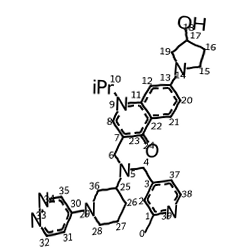 Cc1cc(CN(Cc2cn(C(C)C)c3cc(N4CCC(O)C4)ccc3c2=O)C2CCCN(c3ccnnc3)C2)ccn1